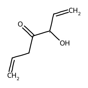 C=CCC(=O)[C](O)C=C